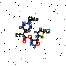 CCC(C(=O)Oc1ncoc1-c1ccc(Cl)s1)c1cnc(SC)nc1